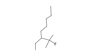 CCCCCC(CC)C(C)(C)F